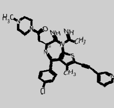 CC(=N)N1C(=N)[C@H](CC(=O)N2CCN(C)CC2)N=C(c2ccc(Cl)cc2)c2c1sc(C#Cc1cccnc1)c2C